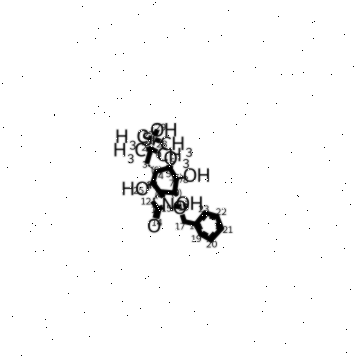 CC(C)(C[C@@H]1C(=O)[C@@H](O)[C@@H](O)[C@]2(CC(=O)N2OCc2ccccc2)[C@@H]1O)[Si](C)(C)O